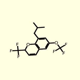 CC(C)Cc1cc(OC(F)(F)F)cc2c1OC(C(F)(F)F)C=C2